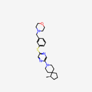 C[C@@H]1CCCC12CCN(c1cnc(Sc3cccc(CN4CCOCC4)c3)cn1)CC2